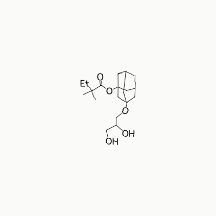 CCC(C)(C)C(=O)OC12CC3CC(CC(OCC(O)CO)(C3)C1)C2